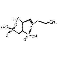 CCC/C=C/C(C)C(CS(=O)(=O)O)S(=O)(=O)O